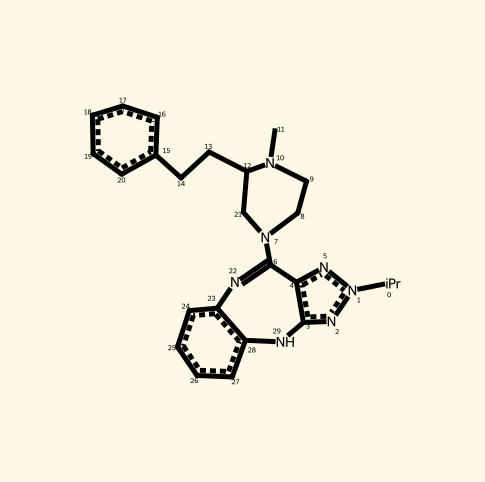 CC(C)n1nc2c(n1)C(N1CCN(C)C(CCc3ccccc3)C1)=Nc1ccccc1N2